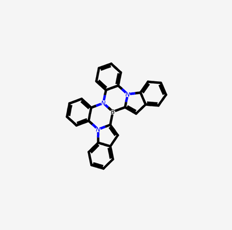 c1ccc2c(c1)N1B(c3cc4ccccc4n3-2)c2cc3ccccc3n2-c2ccccc21